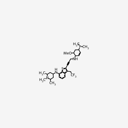 COC1CC(P(C)C)C=CC1NCC#Cc1sc2c(NC3CC(C)N(C)C(C)C3)cccc2c1CC(F)(F)F